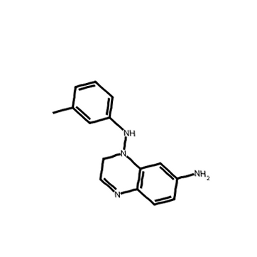 Cc1cccc(NN2CC=Nc3ccc(N)cc32)c1